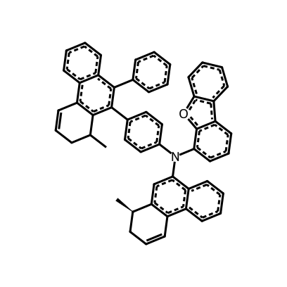 CC1CC=Cc2c1c(-c1ccc(N(c3cc4c(c5ccccc35)C=CC[C@H]4C)c3cccc4c3oc3ccccc34)cc1)c(-c1ccccc1)c1ccccc21